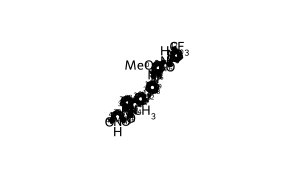 COc1cc(NC(=O)c2cccc(C(F)(F)F)n2)cc2cn([C@H]3CC[C@H](CN4CCC(c5cccc6c5n(C)c(=O)n6C5CCC(=O)NC5=O)CC4)CC3)nc12